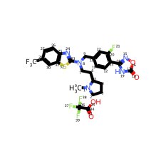 CN1CCCC1CCN(Cc1ccc(-c2noc(=O)[nH]2)c(F)c1)c1nc2ccc(C(F)(F)F)cc2s1.O=C(O)C(F)(F)F